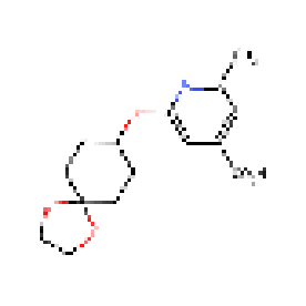 Cc1cc(C(=O)O)cc(OC2CCC3(CC2)OCCO3)n1